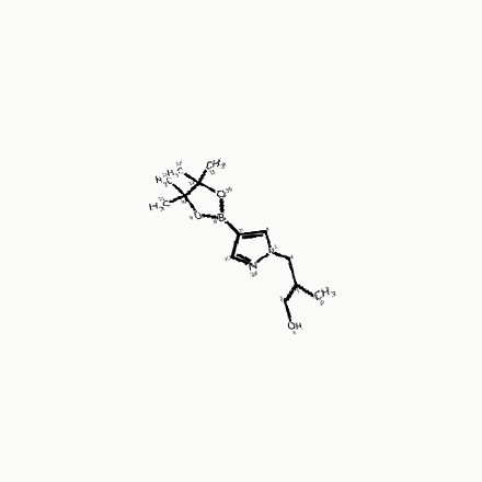 CC(CO)Cn1cc(B2OC(C)(C)C(C)(C)O2)cn1